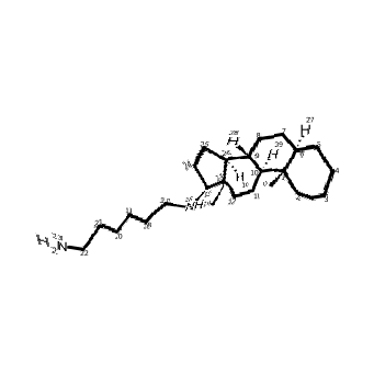 C[C@]12CCCC[C@@H]1CC[C@@H]1[C@@H]2CC[C@]2(C)[C@@H](NCCCCCCN)CC[C@@H]12